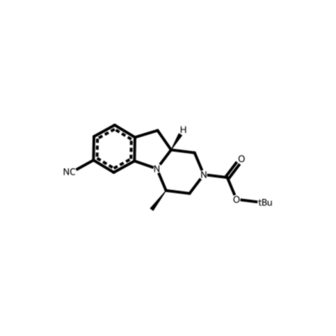 C[C@@H]1CN(C(=O)OC(C)(C)C)C[C@H]2Cc3ccc(C#N)cc3N21